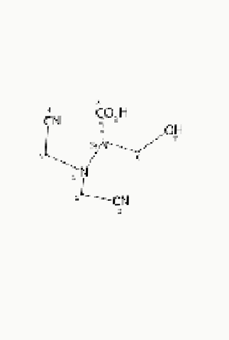 N#CCN(CC#N)[C@@H](CO)C(=O)O